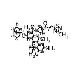 Cc1nsc(/C=C/C(=O)N2CC[C@@H](N(C)c3nc(OC[C@@]45CCCN4C[C@H](F)C5)nc4c3C[C@H](C)[C@@H](c3nc(N)cc(C)c3C(F)(F)F)C4)C2)n1